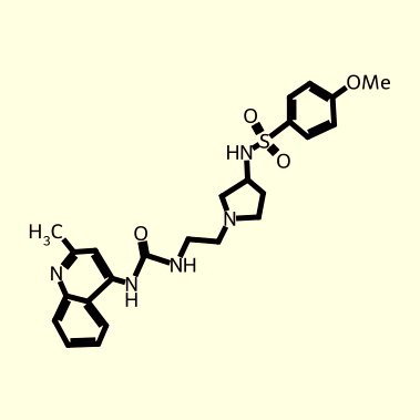 COc1ccc(S(=O)(=O)NC2CCN(CCNC(=O)Nc3cc(C)nc4ccccc34)C2)cc1